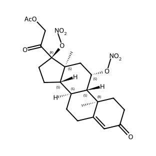 CC(=O)OCC(=O)[C@@]1(O[N+](=O)[O-])CC[C@H]2[C@@H]3CCC4=CC(=O)CC[C@]4(C)[C@H]3[C@@H](O[N+](=O)[O-])C[C@@]21C